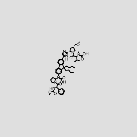 CCCCC1(CCCC)c2cc(-c3cnc([C@@H]4C[C@H](COC)CN4C(=O)[C@H](C(C)C)N(C)C(=O)O)[nH]3)ccc2-c2ccc(N(C(=O)O)[C@H]3CCCN3C(=O)[C@H](NC(=O)OC)c3ccccc3)cc21